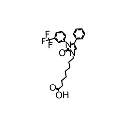 O=C(O)CCCCCCCn1cc(-c2ccccc2)n(-c2cccc(C(F)(F)F)c2)c1=O